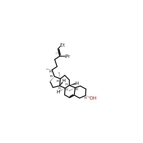 CC/C=C(/CC[C@@H](C)[C@H]1CC[C@H]2[C@@H]3CC=C4C[C@@H](O)CC[C@]4(C)[C@H]3CC[C@]12C)C(C)C